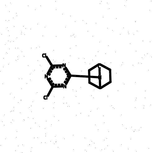 Clc1nc(Cl)nc(N2CC3CCC(CC3)C2)n1